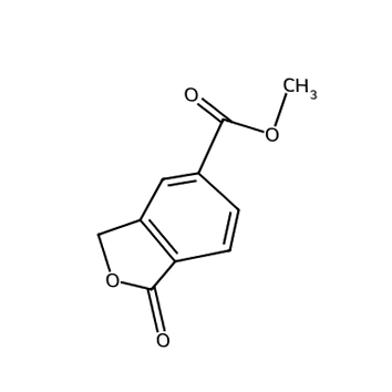 COC(=O)c1ccc2c(c1)COC2=O